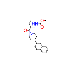 CCC(CNC(=O)OC)C(=O)N1CCC(c2ccc3ccccc3c2)CC1